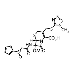 CO[C@@]1(NC(=O)C[S+]([O-])c2cccs2)C(=O)N2C(C(=O)O)=C(CSc3nnnn3C)CS[C@H]21